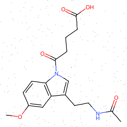 COc1ccc2c(c1)c(CCNC(C)=O)cn2C(=O)CCCC(=O)O